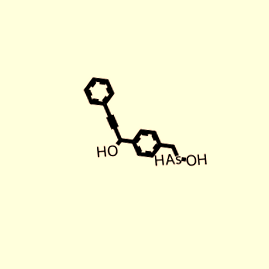 O[AsH]Cc1ccc(C(O)C#Cc2ccccc2)cc1